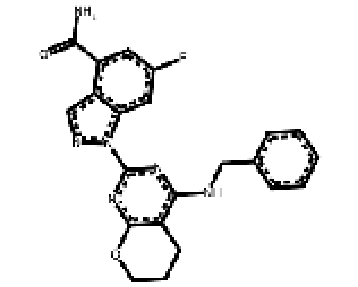 NC(=O)c1cc(F)cc2c1cnn2-c1nc(NCc2ccccc2)c2c(n1)OCCC2